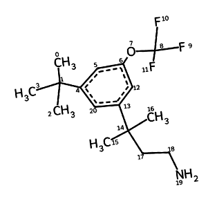 CC(C)(C)c1cc(OC(F)(F)F)cc(C(C)(C)CCN)c1